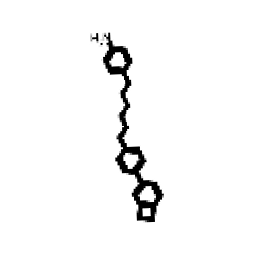 Nc1ccc(CCCCCCc2ccc(-c3ccc4c(c3)CC4)cc2)cc1